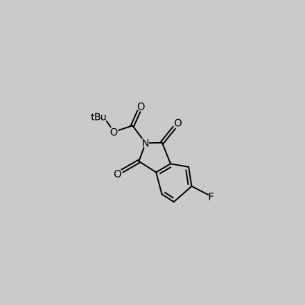 CC(C)(C)OC(=O)N1C(=O)c2ccc(F)cc2C1=O